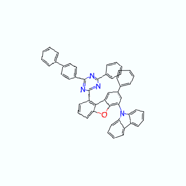 c1ccc(-c2ccc(-c3nc(-c4ccccc4)nc(-c4cccc5oc6c(-n7c8ccccc8c8ccccc87)cc(-c7ccccc7)cc6c45)n3)cc2)cc1